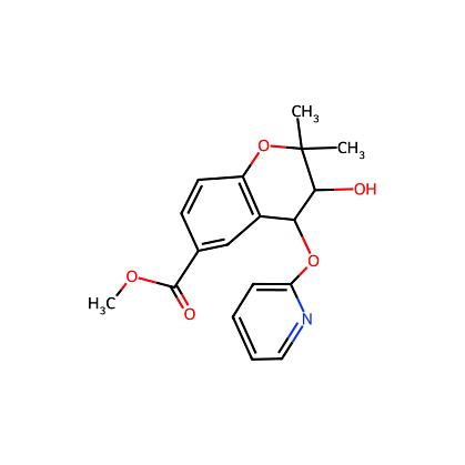 COC(=O)c1ccc2c(c1)C(Oc1ccccn1)C(O)C(C)(C)O2